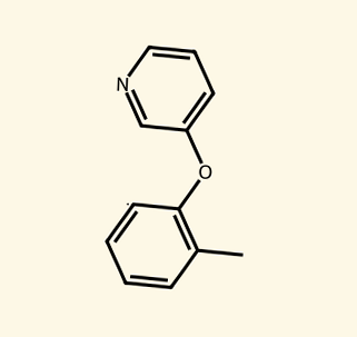 Cc1ccc[c]c1Oc1cccnc1